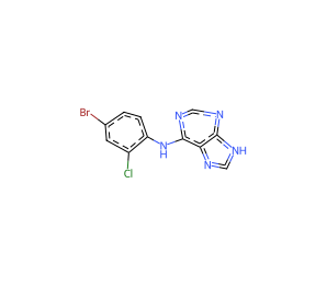 Clc1cc(Br)ccc1Nc1ncnc2[nH]cnc12